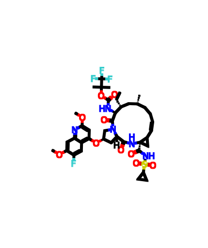 CC[C@@H]1C[C@H](C)CC/C=C\C2C[C@@]2(C(=O)NS(=O)(=O)C2CC2)NC(=O)[C@@H]2C[C@@H](Oc3cc(OC)nc4cc(OC)c(F)cc34)CN2C(=O)[C@H]1NC(=O)OC(C)(C)C(F)(F)F